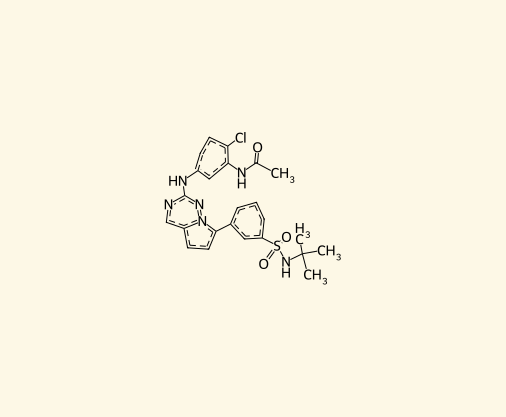 CC(=O)Nc1cc(Nc2ncc3ccc(-c4cccc(S(=O)(=O)NC(C)(C)C)c4)n3n2)ccc1Cl